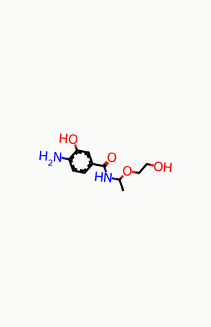 CC(NC(=O)c1ccc(N)c(O)c1)OCCO